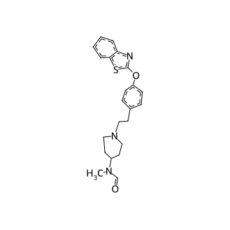 CN(C=O)C1CCN(CCc2ccc(Oc3nc4ccccc4s3)cc2)CC1